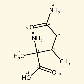 CC(CC(N)=O)C(C)(N)C(=O)O